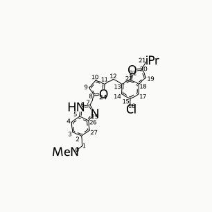 CNCc1ccc2[nH]c(-c3ccc(Cc4cc(Cl)cc5cc(C(C)C)oc45)o3)nc2c1